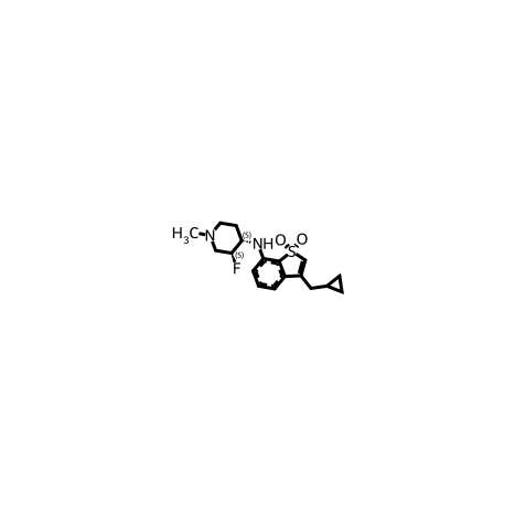 CN1CC[C@H](Nc2cccc3c2S(=O)(=O)C=C3CC2CC2)[C@@H](F)C1